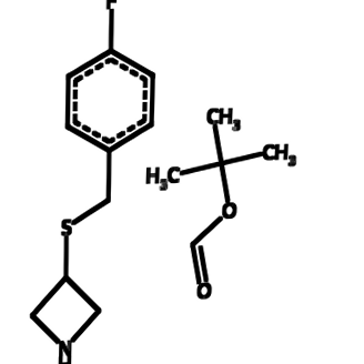 CC(C)(C)OC=O.Fc1ccc(CSC2CNC2)cc1